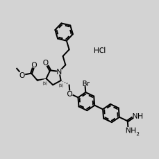 COC(=O)C[C@@H]1C[C@@H](COc2ccc(-c3ccc(C(=N)N)cc3)cc2Br)N(CCCc2ccccc2)C1=O.Cl